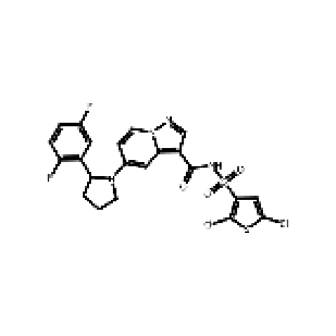 O=C(NS(=O)(=O)c1cc(Cl)sc1Cl)c1cnn2ccc(N3CCCC3c3cc(F)ccc3F)cc12